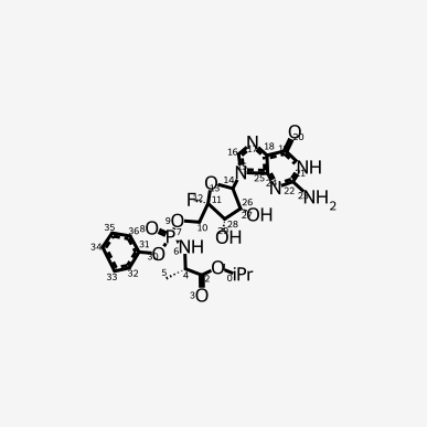 CC(C)OC(=O)[C@H](C)N[P@@](=O)(OC[C@@]1(F)OC(n2cnc3c(=O)[nH]c(N)nc32)[C@H](O)[C@@H]1O)Oc1ccccc1